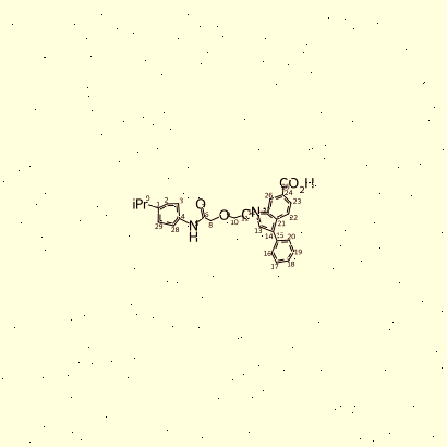 CC(C)c1ccc(NC(=O)COCCn2cc(-c3ccccc3)c3ccc(C(=O)O)cc32)cc1